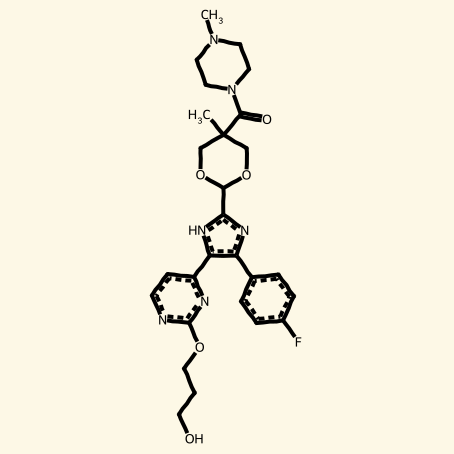 CN1CCN(C(=O)C2(C)COC(c3nc(-c4ccc(F)cc4)c(-c4ccnc(OCCCO)n4)[nH]3)OC2)CC1